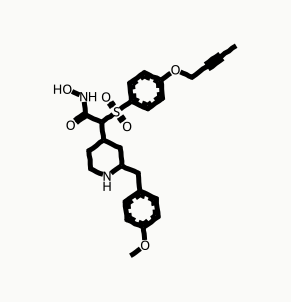 CC#CCOc1ccc(S(=O)(=O)C(C(=O)NO)C2CCNC(Cc3ccc(OC)cc3)C2)cc1